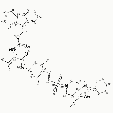 Cc1cc(NC(=O)[C@@H](NC(=O)OCC2c3ccccc3-c3ccccc32)C(C)C)cc(C)c1C=CS(=O)(=O)N1CCC2(CC1)N=C(C1CCCCC1)NC2=O